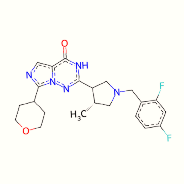 C[C@H]1CN(Cc2ccc(F)cc2F)CC1c1nn2c(C3CCOCC3)ncc2c(=O)[nH]1